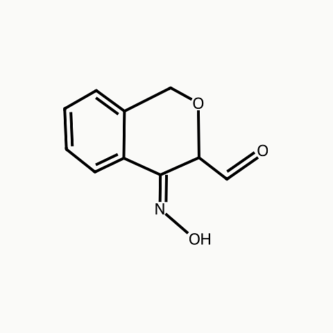 O=CC1OCc2ccccc2C1=NO